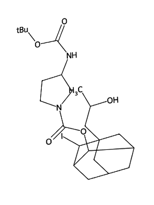 CC(O)CC12CC3CC(C1)C(OC(=O)N1CCC(NC(=O)OC(C)(C)C)C1)C(C3)C2I